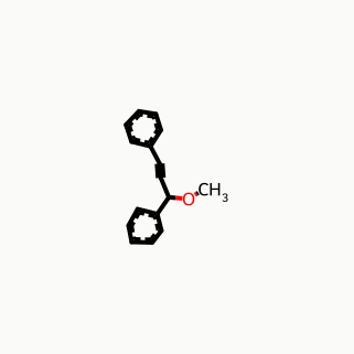 COC(C#Cc1ccccc1)c1ccccc1